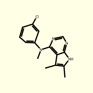 Cc1[nH]c2ncnc(N(C)c3cccc(Cl)c3)c2c1C